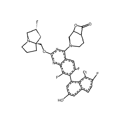 CCc1c(F)ccc2cc(O)cc(-c3c(F)cc4c(N5CCC6C(=O)OC6C5)nc(OC[C@@]56CCCN5C[C@H](F)C6)nc4c3F)c12